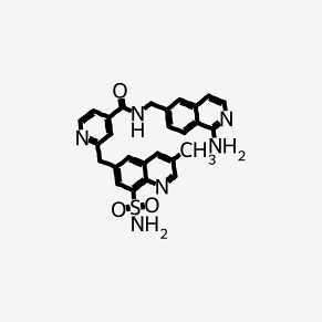 Cc1cnc2c(S(N)(=O)=O)cc(Cc3cc(C(=O)NCc4ccc5c(N)nccc5c4)ccn3)cc2c1